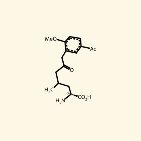 COc1ccc(C(C)=O)cc1CC(=O)CC(C)C[C@H](N)C(=O)O